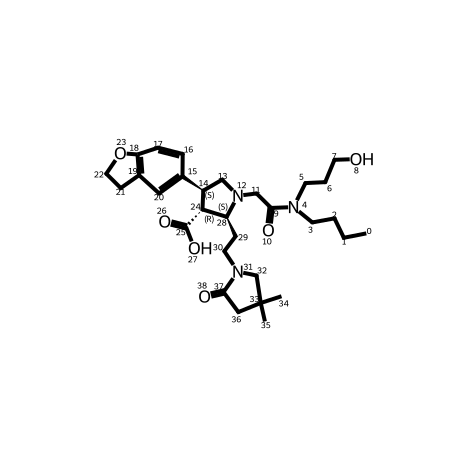 CCCCN(CCCO)C(=O)CN1C[C@H](c2ccc3c(c2)CCO3)[C@@H](C(=O)O)[C@@H]1CCN1CC(C)(C)CC1=O